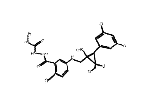 CC(C)NC(=O)NNC(=O)c1cc(NCC2(C=O)C(c3cc(Cl)cc(Cl)c3)C2(Cl)Cl)ccc1Cl